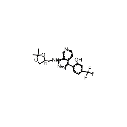 CC1(C)OC[C@H](CNc2nnc(-c3ccc(C(F)(F)F)cc3O)c3ccncc23)O1